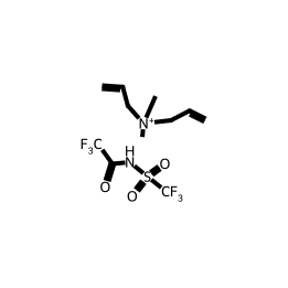 C=CC[N+](C)(C)CC=C.O=C(NS(=O)(=O)C(F)(F)F)C(F)(F)F